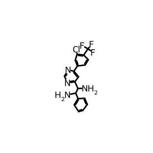 NC(c1ccccc1)C(N)c1cc(-c2ccc(C(F)(F)F)c(Cl)c2)ncn1